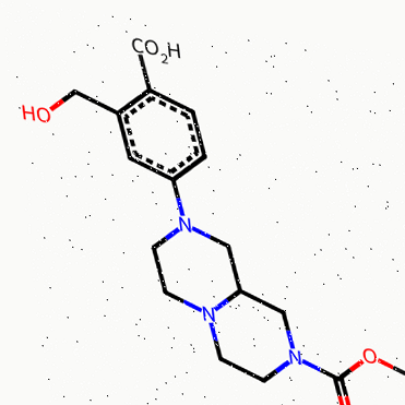 CC(C)(C)OC(=O)N1CCN2CCN(c3ccc(C(=O)O)c(CO)c3)CC2C1